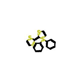 C1=CSC(=C2SC=CS2(c2ccccc2)c2ccccc2)S1